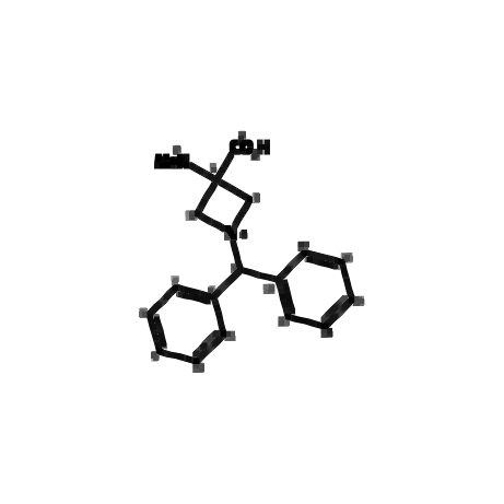 CNC1(C(=O)O)CN(C(c2ccccc2)c2ccccc2)C1